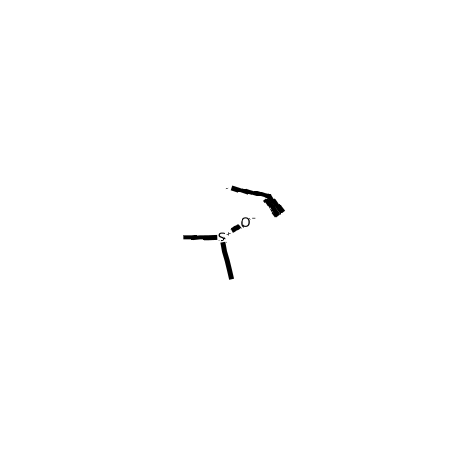 C[S+](C)[O-].[CH2]C=C